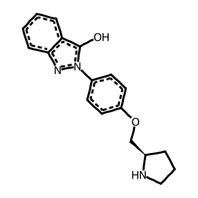 Oc1c2ccccc2nn1-c1ccc(OC[C@H]2CCCN2)cc1